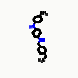 C=Cc1ccc(CNc2ccc(Nc3ccc(C)cc3)cc2)cc1